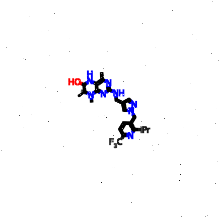 Cc1nc(NCc2cnn(Cc3ccc(C(F)(F)F)nc3C(C)C)c2)nc2c1NC(O)[C@H](C)N2C